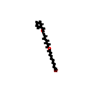 BrCCCCCCCCCCOCCCCCCCCOCc1ccccc1